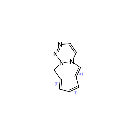 C1=CN2/C=C/C=C\C=C\CN2N=N1